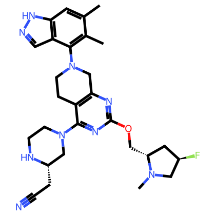 Cc1cc2[nH]ncc2c(N2CCc3c(nc(OC[C@@H]4C[C@@H](F)CN4C)nc3N3CCN[C@@H](CC#N)C3)C2)c1C